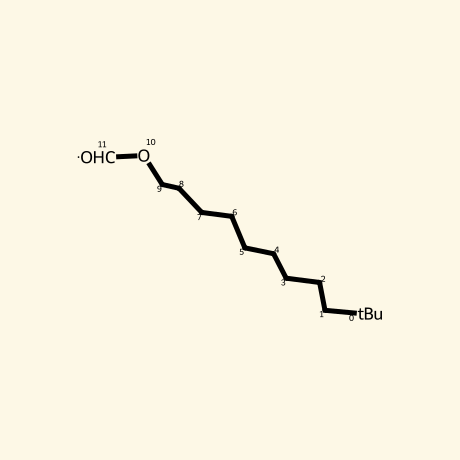 CC(C)(C)CCCCCCCCCO[C]=O